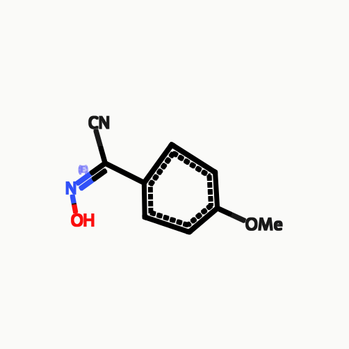 COc1ccc(/C(C#N)=N\O)cc1